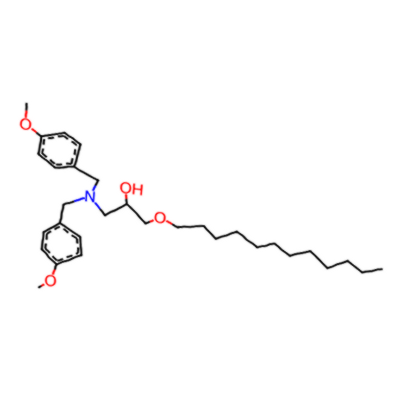 CCCCCCCCCCCCOCC(O)CN(Cc1ccc(OC)cc1)Cc1ccc(OC)cc1